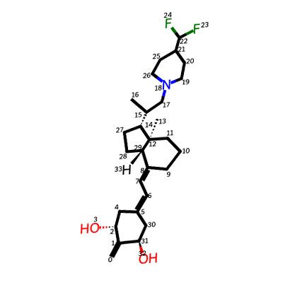 C=C1[C@H](O)CC(=C/C=C2\CCC[C@]3(C)[C@@H](C(C)CN4CCC(C(F)F)CC4)CC[C@@H]23)C[C@H]1O